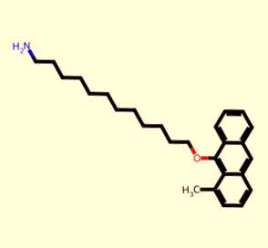 Cc1cccc2cc3ccccc3c(OCCCCCCCCCCCCN)c12